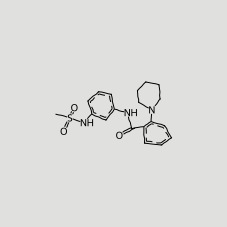 CS(=O)(=O)Nc1cccc(NC(=O)c2ccccc2N2CCCCC2)c1